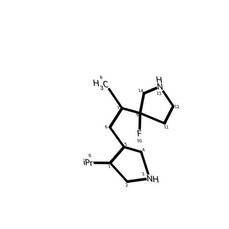 CC(C)C1CNCC1CC(C)C1(F)CCNC1